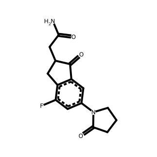 NC(=O)CC1Cc2c(F)cc(N3CCCC3=O)cc2C1=O